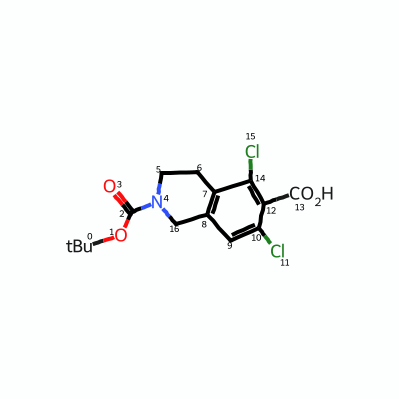 CC(C)(C)OC(=O)N1CCc2c(cc(Cl)c(C(=O)O)c2Cl)C1